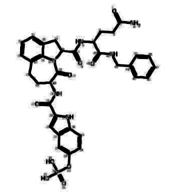 NC(=O)CC[C@H](NC(=O)[C@@H]1Cc2cccc3c2N1C(=O)[C@@H](NC(=O)c1cc2cc(OP(=O)(O)O)ccc2[nH]1)CC3)C(=O)NCc1ccccc1